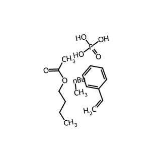 C=Cc1ccccc1.CCCCC.CCCCOC(C)=O.O=P(O)(O)O